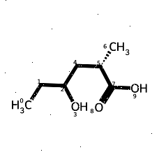 CCC(O)C[C@H](C)C(=O)O